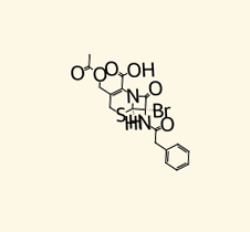 CC(=O)OCC1=C(C(=O)O)N2C(=O)[C@@](Br)(NC(=O)Cc3ccccc3)[C@H]2SC1